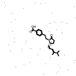 C/C(=C\C=C/[C@H]1CCC(=O)N1CCc1ccc(C(=O)O)cc1)C(C)C